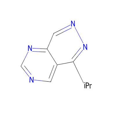 CC(C)c1nncc2ncncc12